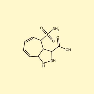 NS(=O)(=O)C1C=CC=CC2NNC(C(=O)O)C21